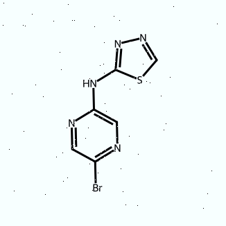 Brc1cnc(Nc2nncs2)cn1